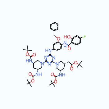 CC(C)(C)OC(=O)C[C@@H]1C[C@H](NC(=O)OC(C)(C)C)CN(c2nc(Nc3ccc(NC(=O)c4ccc(F)cc4O)c(OCc4ccccc4)c3)nc(N3C[C@H](NC(=O)OC(C)(C)C)C[C@H](NC(=O)OC(C)(C)C)C3)n2)C1